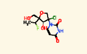 CC(F)[C@]1(CO)OCC(Cl)(n2ccc(=O)[nH]c2=O)[C@@H]1O